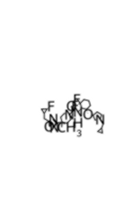 CC1(c2noc(CC3C[C@@H]3F)n2)CCN(C(=O)N[C@@H]2[C@@H](O[C@H]3CCN(CC4CC4)C3)CCCC2(F)F)CC1